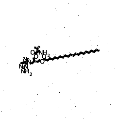 CCCCCCCCCCCCCCCCCCCCCC(=O)OCC[C@@H](COC(=O)[C@@H](N)C(C)C)Cn1cnc2cnc(N)nc21